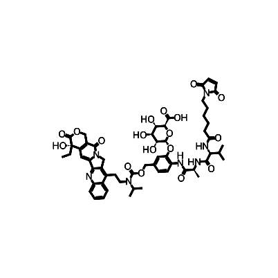 CC[C@@]1(O)C(=O)OCc2c1cc1n(c2=O)Cc2c-1nc1ccccc1c2CCN(C(=O)OCc1ccc(NC(=O)[C@H](C)NC(=O)[C@@H](NC(=O)CCCCCN2C(=O)C=CC2=O)C(C)C)c(O[C@@H]2O[C@H](C(=O)O)[C@@H](O)[C@H](O)[C@H]2O)c1)C(C)C